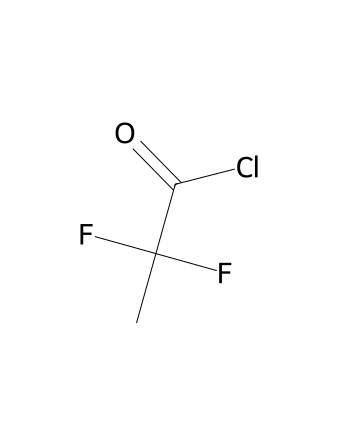 CC(F)(F)C(=O)Cl